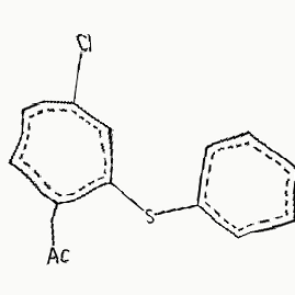 CC(=O)c1ccc(Cl)cc1Sc1ccccc1